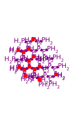 [3H]P(P(P(P(P)P)P(P(P)P)P(P)P)P(P(P(P)P)P(P)P)P(P(P)P)P(P)P)P(P(P(P(P)P)P(P)P)P(P(P)P)P(P)P)P(P(P(P)P)P(P)P)P(P(P)P)P(P)P